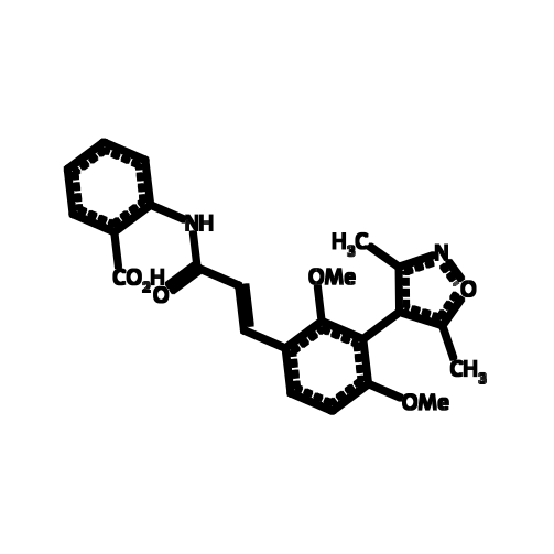 COc1ccc(C=CC(=O)Nc2ccccc2C(=O)O)c(OC)c1-c1c(C)noc1C